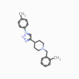 Cc1ccc(-n2cc(C3CCN(Cc4ccccc4C)CC3)nn2)cc1